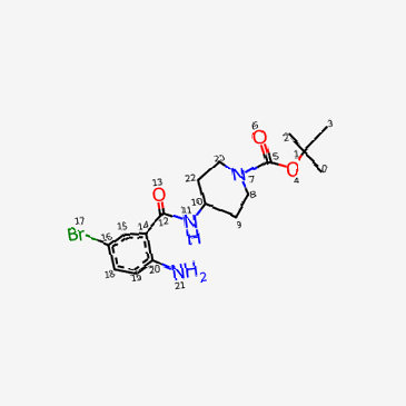 CC(C)(C)OC(=O)N1CCC(NC(=O)c2cc(Br)ccc2N)CC1